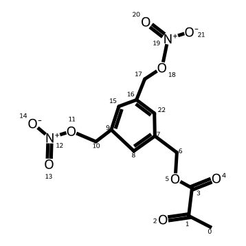 CC(=O)C(=O)OCc1cc(CO[N+](=O)[O-])cc(CO[N+](=O)[O-])c1